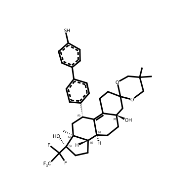 CC1(C)COC2(CCC3=C4[C@@H](CC[C@@]3(O)C2)[C@@H]2CC[C@@](O)(C(F)(F)C(F)(F)F)[C@@]2(C)C[C@@H]4c2ccc(-c3ccc(S)cc3)cc2)OC1